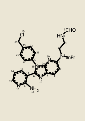 CCCN(CCNC=O)c1ccc2nc(-c3cccnc3N)n(-c3ccc(CCl)cc3)c2n1